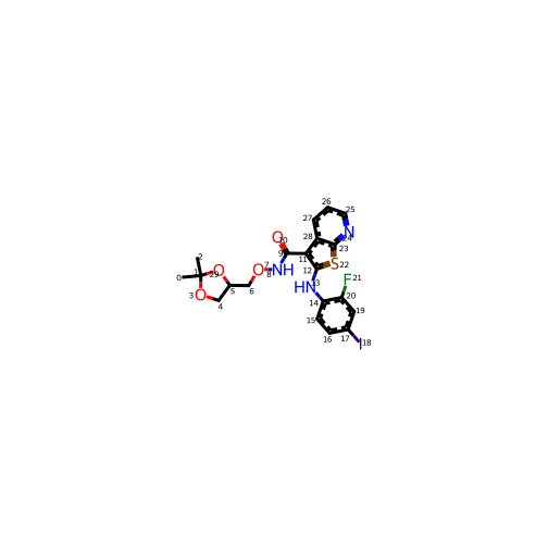 CC1(C)OCC(CONC(=O)c2c(Nc3ccc(I)cc3F)sc3ncccc23)O1